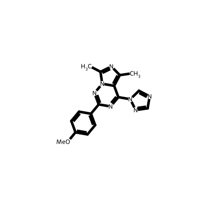 COc1ccc(-c2nc(-n3cncn3)c3c(C)nc(C)n3n2)cc1